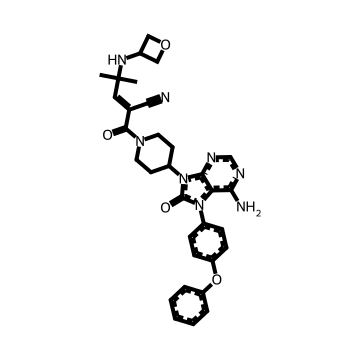 CC(C)(C=C(C#N)C(=O)N1CCC(n2c(=O)n(-c3ccc(Oc4ccccc4)cc3)c3c(N)ncnc32)CC1)NC1COC1